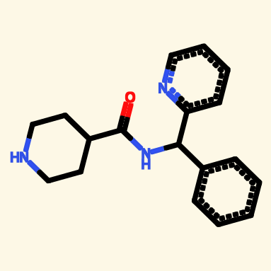 O=C(NC(c1ccccc1)c1ccccn1)C1CCNCC1